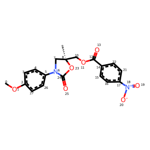 COc1ccc(N2C[C@@](C)(COC(=O)c3ccc([N+](=O)[O-])cc3)OC2=O)cc1